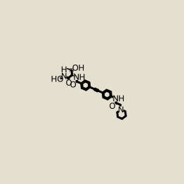 C[C@@H](O)[C@H](NC(=O)c1ccc(C#Cc2ccc(NC(=O)CN3CCCCC3)cc2)cc1)C(=O)NO